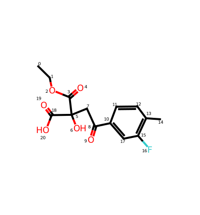 CCOC(=O)C(O)(CC(=O)c1ccc(C)c(F)c1)C(=O)O